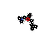 c1cc(-c2ccc3c4ccccc4c4ccccc4c3c2)cc(-c2ccc(-c3cccc(-n4c5ccccc5c5ccccc54)c3)c3c2C2c4ccccc4C3c3ccccc32)c1